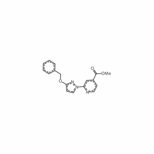 COC(=O)c1ccnc(-n2ccc(OCc3ccccc3)n2)c1